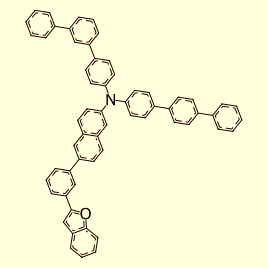 c1ccc(-c2ccc(-c3ccc(N(c4ccc(-c5cccc(-c6ccccc6)c5)cc4)c4ccc5cc(-c6cccc(-c7cc8ccccc8o7)c6)ccc5c4)cc3)cc2)cc1